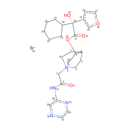 O=C(C[N+]12CCC(CC1)C(OC(=O)[C@](O)(c1ccoc1)C1CCCCC1)C2)Nc1cnccn1.[Br-]